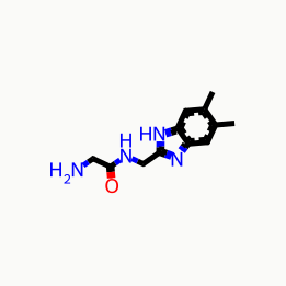 Cc1cc2nc(CNC(=O)CN)[nH]c2cc1C